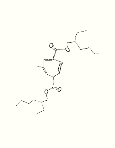 CCCCC(CC)COC(=O)C1=CC(C)=CC(C(=O)OCC(CC)CCCC)C=C1